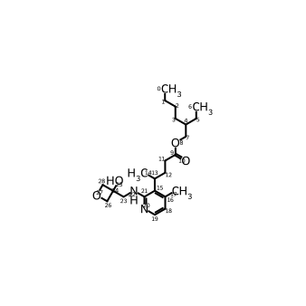 CCCCC(CC)COC(=O)CCC(C)c1c(C)ccnc1NCC1(O)COC1